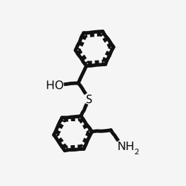 NCc1ccccc1SC(O)c1ccccc1